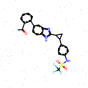 CC(=O)c1ccccc1-c1ccc2[nH]c(C3CC3c3ccc(NS(=O)(=O)C(F)(F)F)cc3)nc2c1